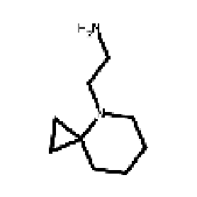 NCCN1CCCCC12CC2